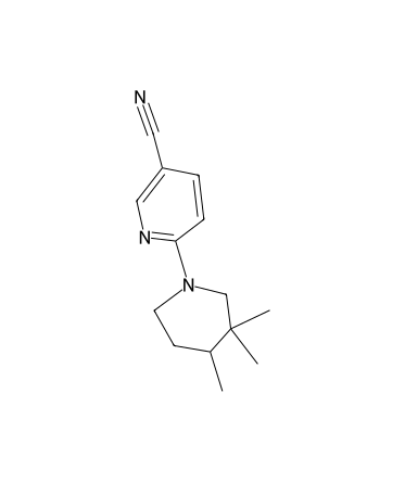 CC1CCN(c2ccc(C#N)cn2)CC1(C)C